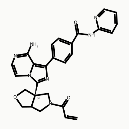 C=CC(=O)N1CC2COC[C@]2(c2nc(-c3ccc(C(=O)Nc4ccccn4)cc3)c3c(N)nccn23)C1